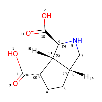 O=C(O)[C@H]1CC[C@H]2CN[C@H](C(=O)O)[C@H]21